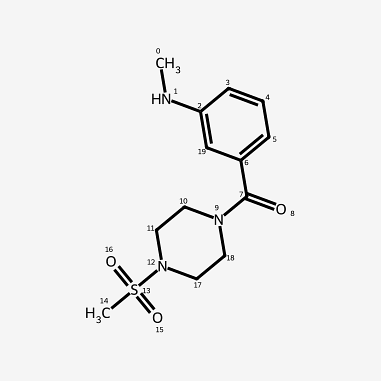 CNc1cccc(C(=O)N2CCN(S(C)(=O)=O)CC2)c1